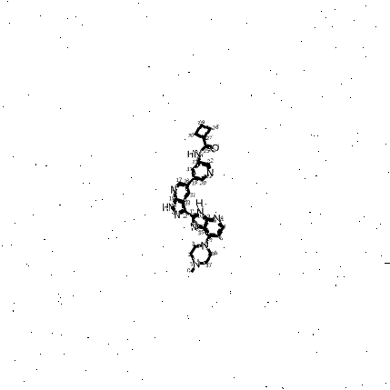 CN1CCN(c2ccnc3[nH]c(-c4n[nH]c5ncc(-c6cncc(NC(=O)C7CCC7)c6)cc45)nc23)CC1